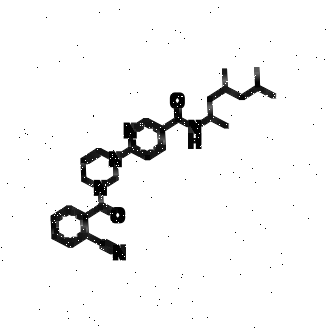 CC(C)CC(C)CC(C)NC(=O)c1ccc(N2C=CCN(C(=O)c3ccccc3C#N)C2)nc1